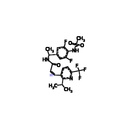 CC(C)c1nc(C(F)(F)F)ccc1/C=C\C(=O)NC(C)c1cc(F)c(NS(C)(=O)=O)c(F)c1